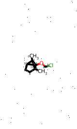 CC1=C(OCCl)C2(C)CCC1C2